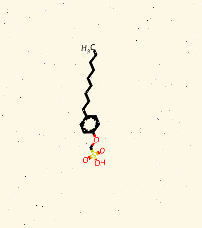 CCCCCCCCCc1ccc(OCS(=O)(=O)O)cc1